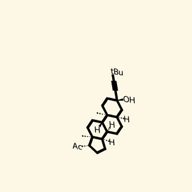 CC(=O)[C@H]1CC[C@@H]2[C@@H]3CC[C@@H]4C[C@@](O)(C#CC(C)(C)C)CC[C@]4(C)[C@H]3CC[C@]12C